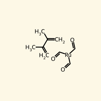 C=C(C)C(=C)C.O=[CH][Ru]([CH]=O)[CH]=O